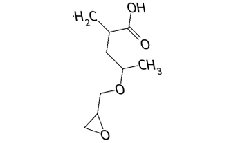 [CH2]C(CC(C)OCC1CO1)C(=O)O